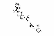 CCNC(=O)N1CCc2ccc(C(=O)CCCCNCCc3ccccc3Cl)cc2CC1